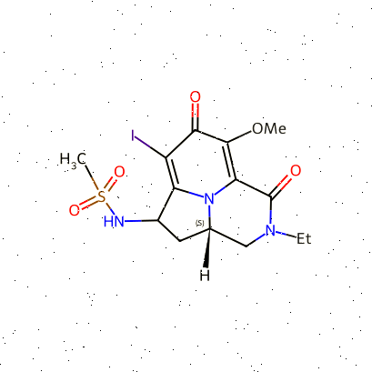 CCN1C[C@@H]2CC(NS(C)(=O)=O)c3c(I)c(=O)c(OC)c(n32)C1=O